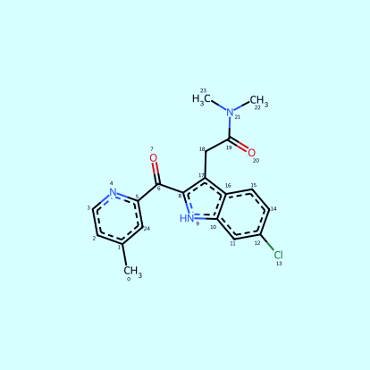 Cc1ccnc(C(=O)c2[nH]c3cc(Cl)ccc3c2CC(=O)N(C)C)c1